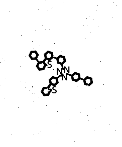 c1ccc(-c2ccc(-c3nc(-c4cccc(-c5cccc6c5sc5cccc(-c7ccccc7)c56)c4)nc(-c4ccc5c(c4)sc4ccccc45)n3)cc2)cc1